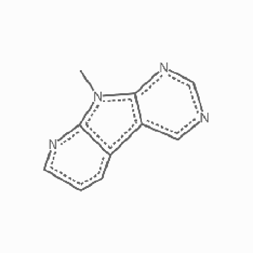 Cn1c2ncccc2c2cncnc21